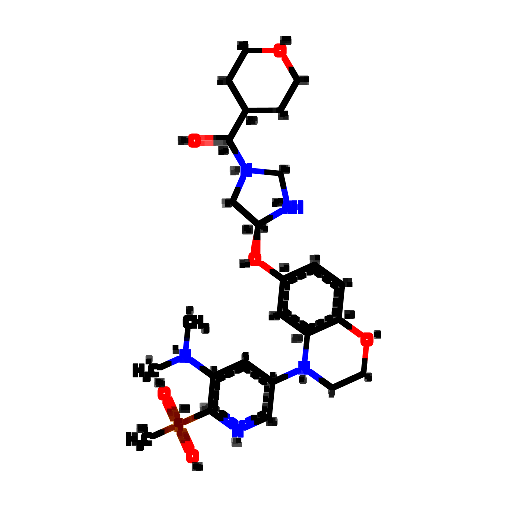 CN(C)c1cc(N2CCOc3ccc(O[C@H]4CN(C(=O)C5CCOCC5)CN4)cc32)cnc1S(C)(=O)=O